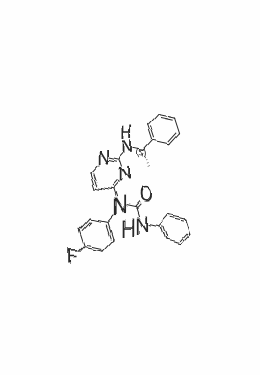 C[C@H](Nc1nccc(N(C(=O)Nc2ccccc2)c2ccc(F)cc2)n1)c1ccccc1